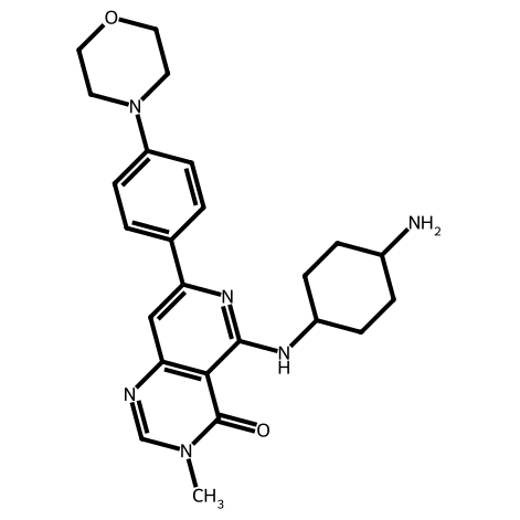 Cn1cnc2cc(-c3ccc(N4CCOCC4)cc3)nc(NC3CCC(N)CC3)c2c1=O